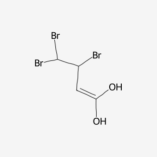 OC(O)=CC(Br)C(Br)Br